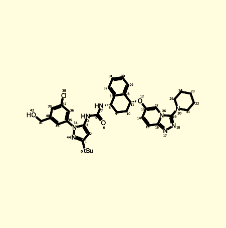 CC(C)(C)c1cc(NC(=O)N[C@H]2CC[C@@H](Oc3ccc4nnc(N5CCCCC5)n4c3)c3ccccc32)n(-c2cc(Cl)cc(CO)c2)n1